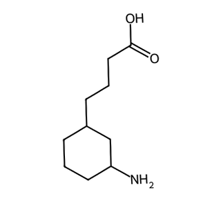 NC1CCCC(CCCC(=O)O)C1